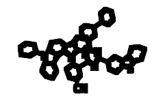 N#Cc1ccc(-n2c3ccccc3c3ccc4c(c5ccccc5n4-c4ccccc4)c32)c(-c2nc(-c3cccc(-c4ccccc4)c3)nc(-c3ccc4sc5ccccc5c4c3)n2)c1